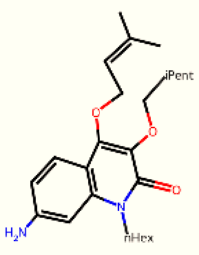 CCCCCCn1c(=O)c(OCC(C)CCC)c(OCC=C(C)C)c2ccc(N)cc21